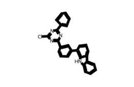 Clc1nc(-c2ccccc2)nc(-c2cccc(-c3cccc4c3[nH]c3ccccc34)c2)n1